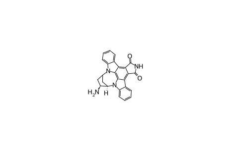 N[C@H]1CC2C[C@H]1n1c3ccccc3c3c4c(c5c6ccccc6n2c5c31)C(=O)NC4=O